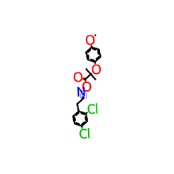 COc1ccc(OC(C)(C)C(=O)O/N=C/Cc2ccc(Cl)cc2Cl)cc1